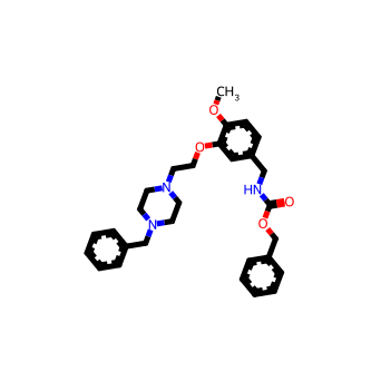 COc1ccc(CNC(=O)OCc2ccccc2)cc1OCCN1CCN(Cc2ccccc2)CC1